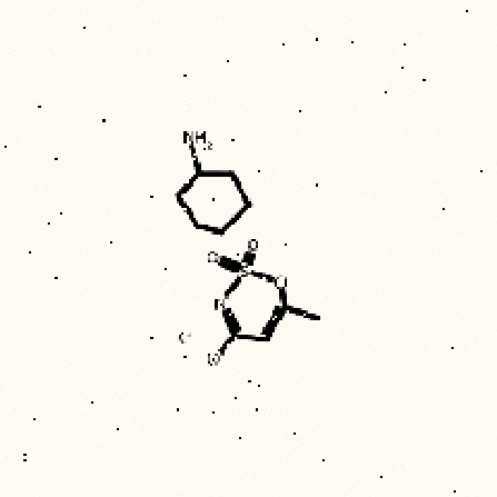 CC1=CC([O-])=NS(=O)(=O)O1.NC1CCCCC1.[K+]